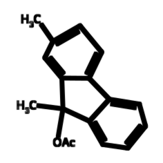 CC(=O)OC1(C)c2ccccc2-c2ccc(C)cc21